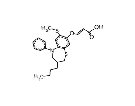 CCCCC1CSc2cc(O/C=C/C(=O)O)c(SC)cc2N(c2ccccc2)C1